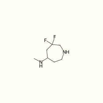 CNC1CCNCC(F)(F)C1